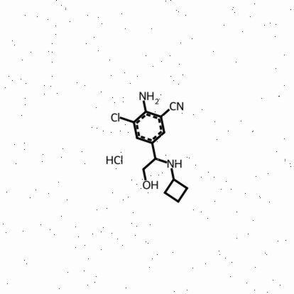 Cl.N#Cc1cc(C(CO)NC2CCC2)cc(Cl)c1N